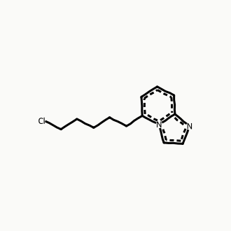 ClCCCCCc1cccc2nccn12